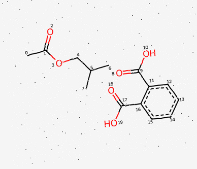 CC(=O)OCC(C)C.O=C(O)c1ccccc1C(=O)O